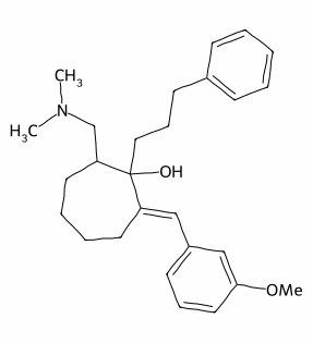 COc1cccc(C=C2CCCCC(CN(C)C)C2(O)CCCc2ccccc2)c1